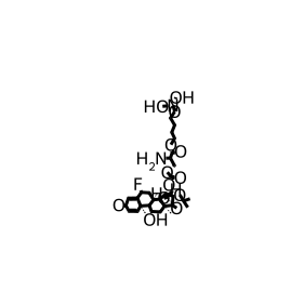 CC1(C)O[C@@H]2CC3[C@@H]4CC(F)C5=CC(=O)C=C[C@]5(C)C4[C@@H](O)C[C@]3(C)[C@]2(C(=O)COC(=O)OCC(N)C(=O)OCCCCON(O)O)O1